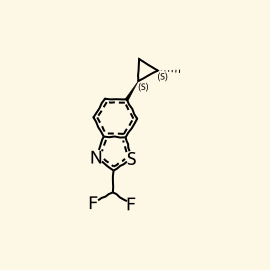 C[C@H]1C[C@@H]1c1ccc2nc(C(F)F)sc2c1